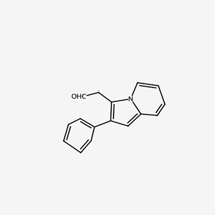 O=C[CH]c1c(-c2ccccc2)cc2ccccn12